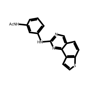 CC(=O)Nc1cccc(Nc2ncc3ccc4sccc4c3n2)c1